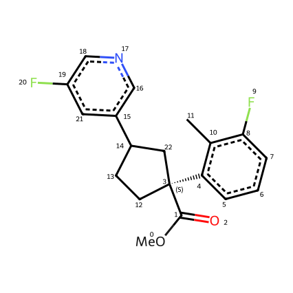 COC(=O)[C@@]1(c2cccc(F)c2C)CCC(c2cncc(F)c2)C1